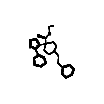 CCOC(=O)C1(c2ccsc2-c2ccccc2)CCN(CCc2ccccc2)CC1